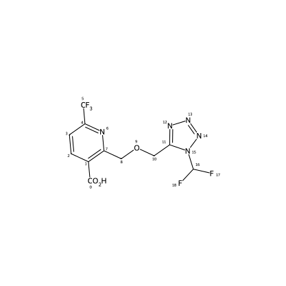 O=C(O)c1ccc(C(F)(F)F)nc1COCc1nnnn1C(F)F